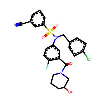 N#Cc1cccc(S(=O)(=O)N(Cc2ccc(Cl)cc2)c2ccc(F)c(C(=O)N3CCCC(O)C3)c2)c1